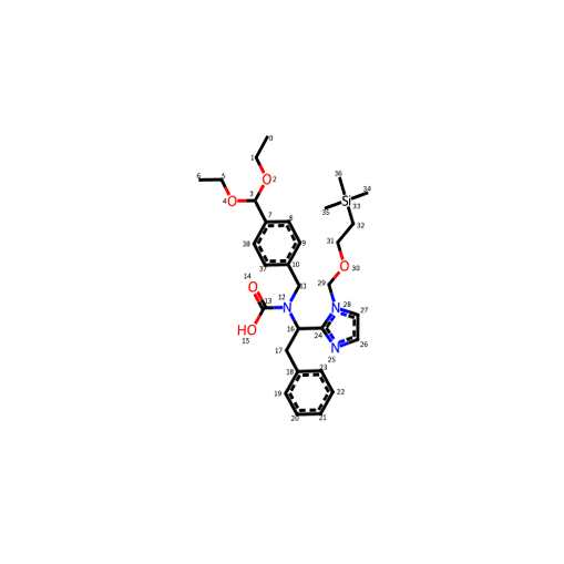 CCOC(OCC)c1ccc(CN(C(=O)O)C(Cc2ccccc2)c2nccn2COCC[Si](C)(C)C)cc1